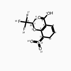 C[C@@H](OC1=C(C(=O)O)C=CCC1=S(=O)=O)C(F)(F)F